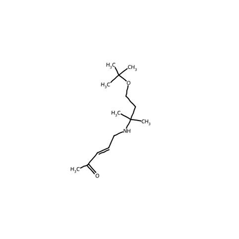 CC(=O)/C=C/CNC(C)(C)CCOC(C)(C)C